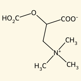 C[N+](C)(C)CC(OC(=O)O)C(=O)[O-]